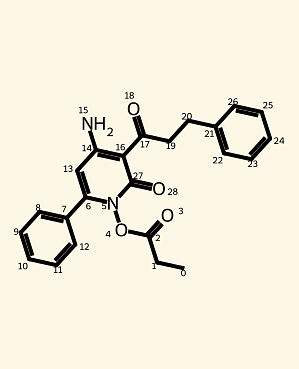 CCC(=O)On1c(-c2ccccc2)cc(N)c(C(=O)CCc2ccccc2)c1=O